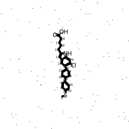 CSc1ccc(-c2ccc(-c3cc4cc(CCCCC(=O)O)[nH]c4cc3Cl)cc2)cc1